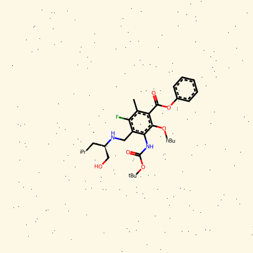 CCCCOc1c(NC(=O)OC(C)(C)C)c(CN[C@@H](CO)CC(C)C)c(F)c(C)c1C(=O)Oc1ccccc1